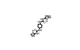 O=C(NC1=NNNN1)NC1CCC(NC(=O)Nc2nnn[nH]2)CC1